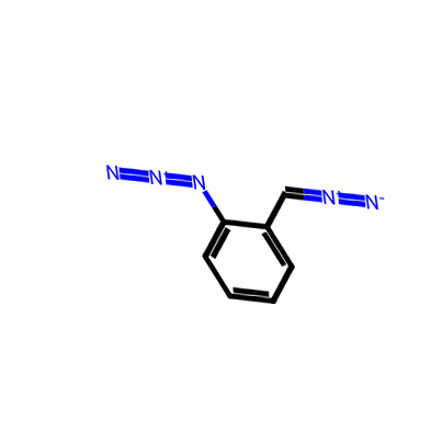 [N-]=[N+]=Cc1ccccc1N=[N+]=[N-]